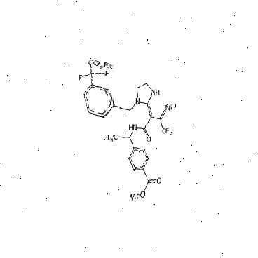 CCOC(=O)C(F)(F)c1cccc(CN2CCN/C2=C(\C(=N)C(F)(F)F)C(=O)NC(C)c2ccc(C(=O)OC)cc2)c1